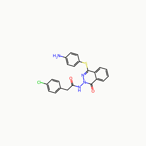 Nc1ccc(Sc2nn(NC(=O)Cc3ccc(Cl)cc3)c(=O)c3ccccc23)cc1